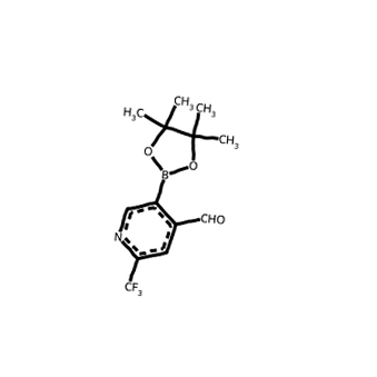 CC1(C)OB(c2cnc(C(F)(F)F)cc2C=O)OC1(C)C